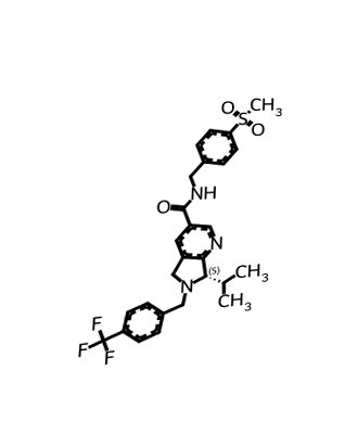 CC(C)[C@H]1c2ncc(C(=O)NCc3ccc(S(C)(=O)=O)cc3)cc2CN1Cc1ccc(C(F)(F)F)cc1